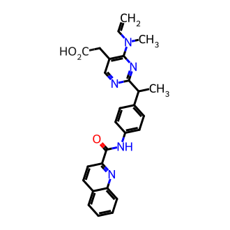 C=CN(C)c1nc(C(C)c2ccc(NC(=O)c3ccc4ccccc4n3)cc2)ncc1CC(=O)O